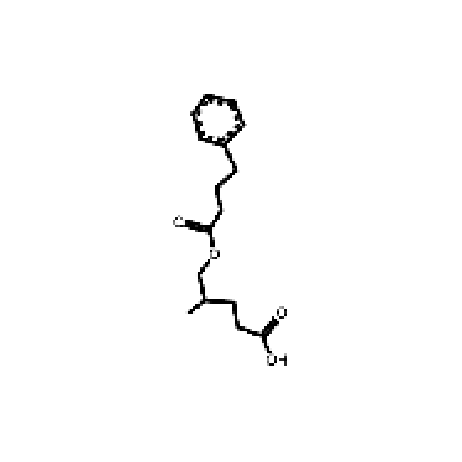 CC(CCC(=O)O)COC(=O)CCCc1ccccc1